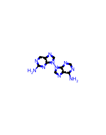 Nc1ncc2ncn(-n3cnc4c(N)ncnc43)c2n1